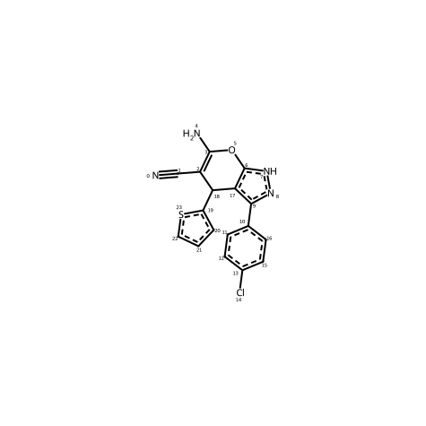 N#CC1=C(N)Oc2[nH]nc(-c3ccc(Cl)cc3)c2C1c1cccs1